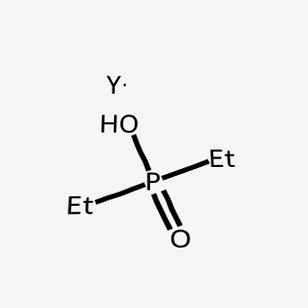 CCP(=O)(O)CC.[Y]